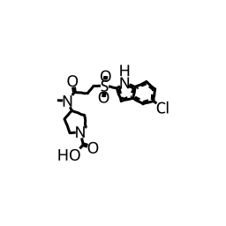 CN(C(=O)CCS(=O)(=O)c1cc2cc(Cl)ccc2[nH]1)C1CCN(C(=O)O)CC1